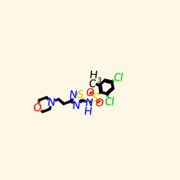 Cc1cc(Cl)cc(Cl)c1S(=O)(=O)Nc1nc(CCN2CCOCC2)ns1